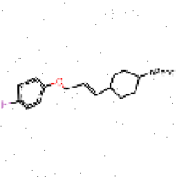 CCCCCC1CCC(C=CCOc2ccc(I)cc2)CC1